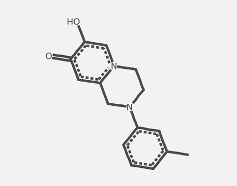 Cc1cccc(N2CCn3cc(O)c(=O)cc3C2)c1